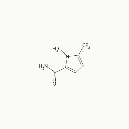 Cn1c(C(N)=O)ccc1C(F)(F)F